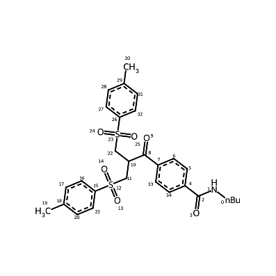 CCCCNC(=O)c1ccc(C(=O)C(CS(=O)(=O)c2ccc(C)cc2)CS(=O)(=O)c2ccc(C)cc2)cc1